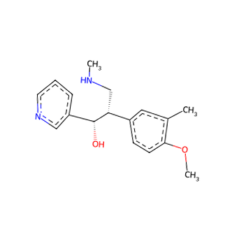 CNC[C@H](c1ccc(OC)c(C)c1)[C@H](O)c1cccnc1